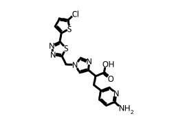 Nc1ccc(CC(C(=O)O)c2cn(Cc3nnc(-c4ccc(Cl)s4)s3)cn2)cn1